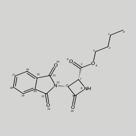 CCCCOC(=O)[C@@H]1NC(=O)[C@@H]1N1C(=O)c2ccccc2C1=O